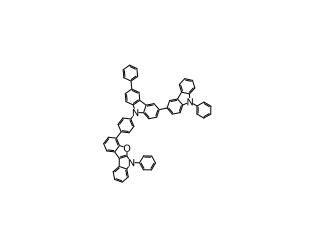 c1ccc(-c2ccc3c(c2)c2cc(-c4ccc5c(c4)c4ccccc4n5-c4ccccc4)ccc2n3-c2ccc(-c3cccc4c3oc3c4c4ccccc4n3-c3ccccc3)cc2)cc1